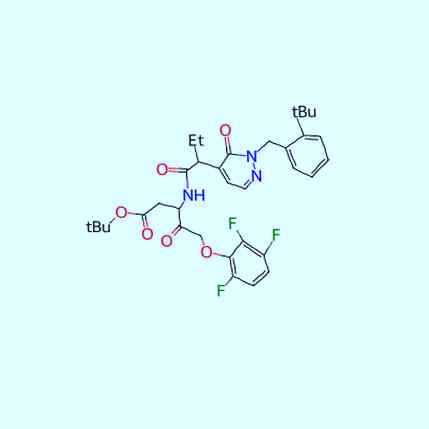 CCC(C(=O)NC(CC(=O)OC(C)(C)C)C(=O)COc1c(F)ccc(F)c1F)c1ccnn(Cc2ccccc2C(C)(C)C)c1=O